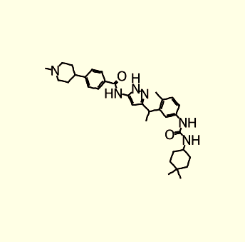 Cc1ccc(NC(=O)NC2CCC(C)(C)CC2)cc1C(C)c1cc(NC(=O)c2ccc(C3CCN(C)CC3)cc2)[nH]n1